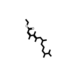 CCOC(=O)C=C(C)C(C)=C(C)CC(C)CCCC(C)C(C)C